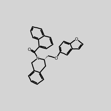 O=C(c1cccc2ccccc12)N1Cc2ccccc2C[C@H]1COc1ccc2occc2c1